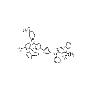 Cc1ccc2c(c1)c1cc(C)cc3c1n2-c1ccc(-c2ccc(N(c4ccccc4)c4ccc5c(c4)C(C)(C)c4ccccc4-5)cc2)cc1C31c2ccccc2-c2ccccc21